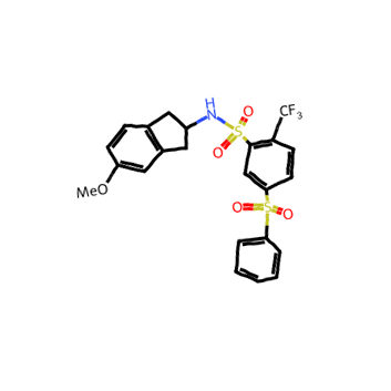 COc1ccc2c(c1)CC(NS(=O)(=O)c1cc(S(=O)(=O)c3ccccc3)ccc1C(F)(F)F)C2